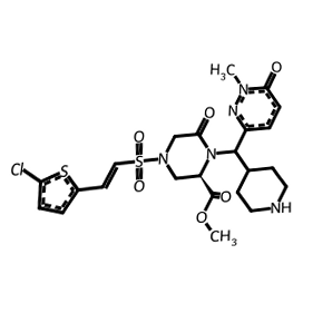 COC(=O)[C@H]1CN(S(=O)(=O)/C=C/c2ccc(Cl)s2)CC(=O)N1C(c1ccc(=O)n(C)n1)C1CCNCC1